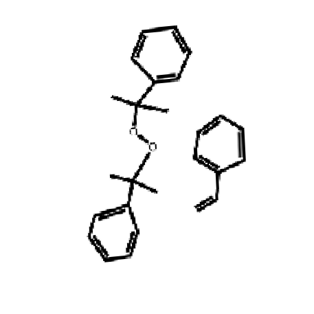 C=Cc1ccccc1.CC(C)(OOC(C)(C)c1ccccc1)c1ccccc1